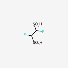 O=S(=O)(O)C(F)C(F)S(=O)(=O)O